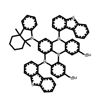 CC(C)(C)c1ccc2c(c1)B1c3cc(C(C)(C)C)ccc3N(c3cccc4sc5ccccc5c34)c3cc(N4c5ccccc5C5(C)CCCCC45C)cc(c31)N2c1cccc2sc3ccccc3c12